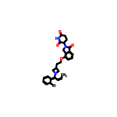 C/C=C\C(=C1\C=CC=CC1CC)N1CC(CCOc2cccc3c2CN(C2CCC(=O)NC2=O)C3=O)C1